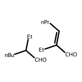 CCCC=C(C=O)CC.CCCCC(C=O)CC